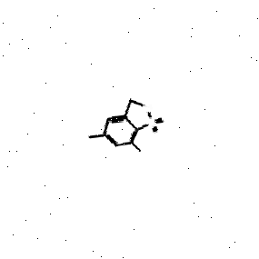 Cc1cc(C)c2c(c1)CNS2(=O)=O